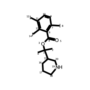 CC(C)(OC(=O)c1c(I)ccc(I)c1I)C1CCCNC1